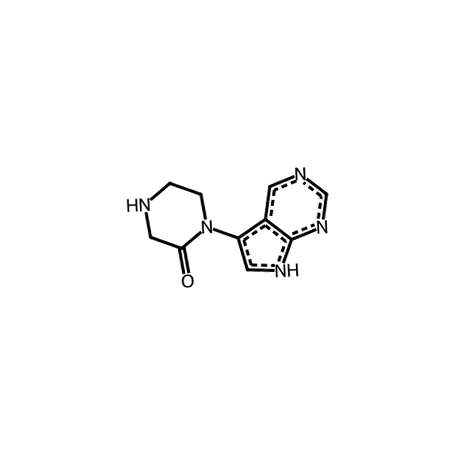 O=C1CNCCN1c1c[nH]c2ncncc12